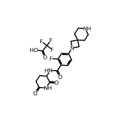 O=C(O)C(F)(F)F.O=C1CCC(NC(=O)c2ccc(N3CC4(CCNCC4)C3)cc2F)C(=O)N1